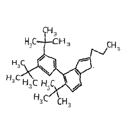 CCCC1=Cc2c(ccc(C(C)(C)C)c2-c2cc(C(C)(C)C)cc(C(C)(C)C)c2)[CH]1